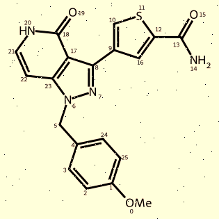 COc1ccc(Cn2nc(-c3csc(C(N)=O)c3)c3c(=O)[nH]ccc32)cc1